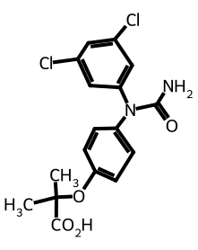 CC(C)(Oc1ccc(N(C(N)=O)c2cc(Cl)cc(Cl)c2)cc1)C(=O)O